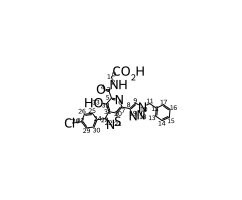 O=C(O)CNC(=O)c1nc(-c2cn(Cc3ccccc3)nn2)c2snc(-c3ccc(Cl)cc3)c2c1O